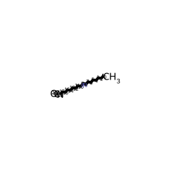 CCCCCCCC/C=C/CCCCCCCCN=C=O